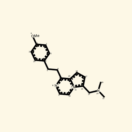 COc1ccc(CCc2nccn3c(CN(C)C)ccc23)cc1